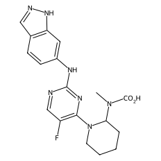 CN(C(=O)O)C1CCCCN1c1nc(Nc2ccc3cn[nH]c3c2)ncc1F